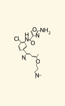 C=N/C(=C\C=C(/C)OCCCN(C)C)c1ccc(Cl)c(NC(=O)c2coc(N)n2)c1